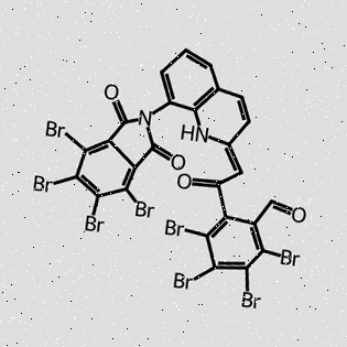 O=Cc1c(Br)c(Br)c(Br)c(Br)c1C(=O)/C=C1/C=Cc2cccc(N3C(=O)c4c(Br)c(Br)c(Br)c(Br)c4C3=O)c2N1